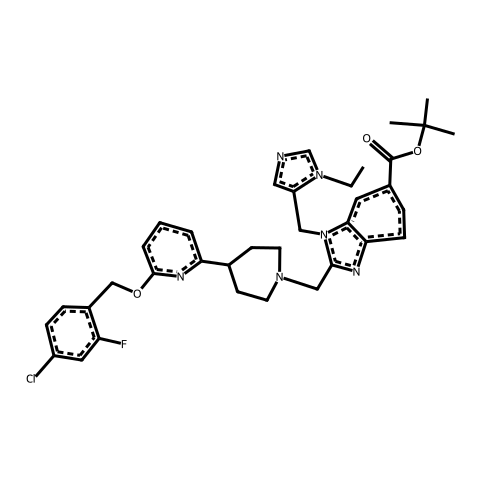 CCn1cncc1Cn1c(CN2CCC(c3cccc(OCc4ccc(Cl)cc4F)n3)CC2)nc2ccc(C(=O)OC(C)(C)C)cc21